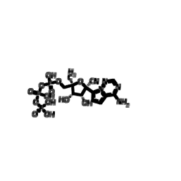 C[C@]1(COP(=O)(O)OP(=O)(O)OP(=O)(O)O)O[C@@](C#N)(c2ccc3c(N)ncnn23)[C@H](O)[C@@H]1O